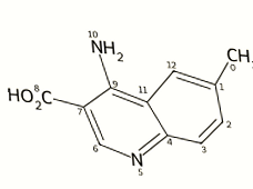 Cc1ccc2ncc(C(=O)O)c(N)c2c1